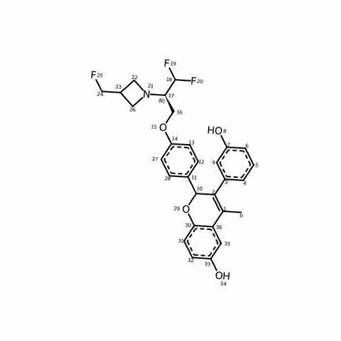 CC1=C(c2cccc(O)c2)C(c2ccc(OC[C@H](C(F)F)N3CC(CF)C3)cc2)Oc2ccc(O)cc21